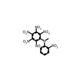 CN(c1ccccc1[N+](=O)[O-])c1c([N+](=O)[O-])c([N+](=O)[O-])c([N+](=O)[O-])c([N+](=O)[O-])c1[N+](=O)[O-]